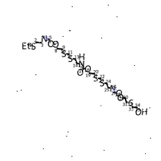 CCSCC/N=C\OOCCSCSCCNC(=O)OCCSCSCC/N=C/OOCCSCCO